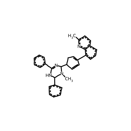 Cc1ccc2cccc(C3=CCC(C4N=C(c5ccccc5)NC(c5ccccc5)N4C)C=C3)c2n1